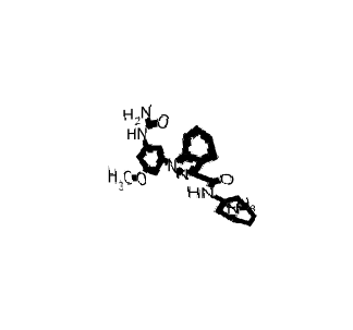 COc1cc(NC(N)=O)cc(-n2nc(C(=O)NC3CC4CCC(C3)N4C)c3ccccc32)c1